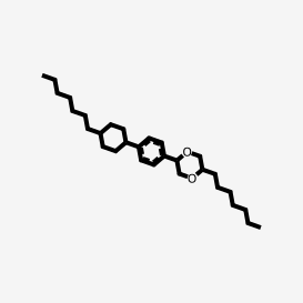 CCCCCCCC1CCC(c2ccc(C3COC(CCCCCCC)CO3)cc2)CC1